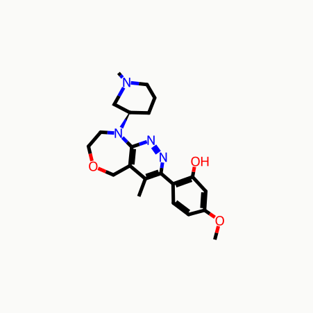 COc1ccc(-c2nnc3c(c2C)COCCN3[C@@H]2CCCN(C)C2)c(O)c1